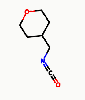 O=C=NCC1CCOCC1